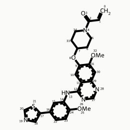 C=CC(=O)N1CCC(Oc2cc3c(Nc4cc(-c5cncs5)ccc4OC)ncnc3cc2OC)CC1